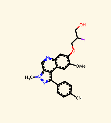 COc1cc2c(cc1OCC(I)CO)ncc1c2c(-c2ccc(C#N)cc2)nn1C